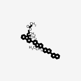 C=CC(=O)OCCCC1(C(=C)C)c2ccccc2-c2ccc(-c3ccc4c(c3)C(C)(C)c3cc(-c5ccc6cc(-c7ccc8ccccc8c7)ccc6c5)ccc3-4)cc21